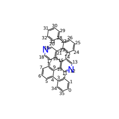 c1ccc(-c2ccccc2-c2cnccc2-c2ccncc2-c2ccccc2-c2ccccc2)cc1